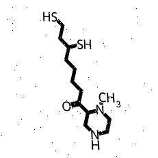 CN1CCNCC1C(=O)CCCCC(S)CCS